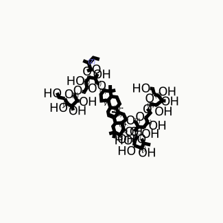 C/C=C(/C)C(=O)OC1C(O)[C@H](O[C@H]2CC[C@@]3(C)C(CC[C@]4(C)C3CC=C3C5CC(C)(C)[C@@H](O)[C@H](O)[C@]5(CO[C@@H]5OC(CO[C@@H]6OC(CO)[C@@H](O)C(O)C6O)[C@@H](O)C(O)C5O[C@@H]5OC(C)[C@H](O)C(O)C5O)CC[C@]34C)C2(C)C)OC(CO[C@@H]2OC(CO)[C@@H](O)C(O)C2O)[C@H]1O